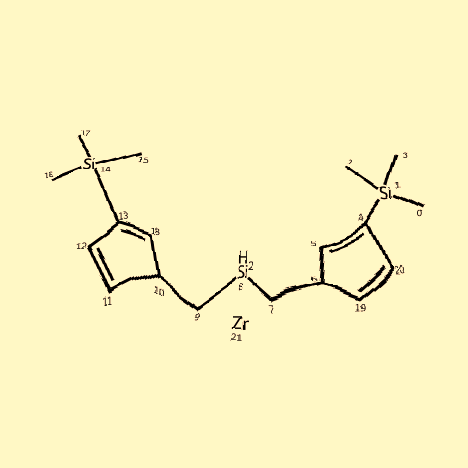 C[Si](C)(C)C1=CC(C[SiH2]CC2C=CC([Si](C)(C)C)=C2)C=C1.[Zr]